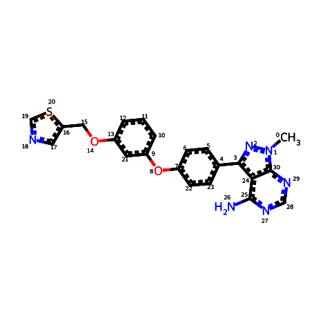 Cn1nc(-c2ccc(Oc3cccc(OCc4cncs4)c3)cc2)c2c(N)ncnc21